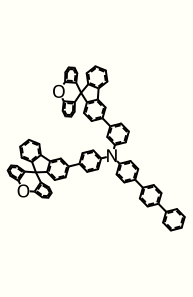 c1ccc(-c2ccc(-c3ccc(N(c4ccc(-c5ccc6c(c5)-c5ccccc5C65c6ccccc6Oc6ccccc65)cc4)c4cccc(-c5ccc6c(c5)-c5ccccc5C65c6ccccc6Oc6ccccc65)c4)cc3)cc2)cc1